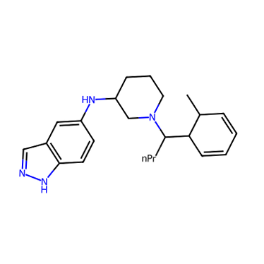 CCCC(C1C=CC=CC1C)N1CCCC(Nc2ccc3[nH]ncc3c2)C1